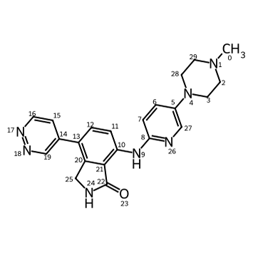 CN1CCN(c2ccc(Nc3ccc(-c4ccnnc4)c4c3C(=O)NC4)nc2)CC1